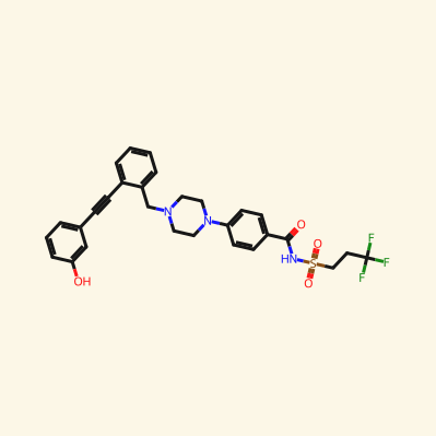 O=C(NS(=O)(=O)CCC(F)(F)F)c1ccc(N2CCN(Cc3ccccc3C#Cc3cccc(O)c3)CC2)cc1